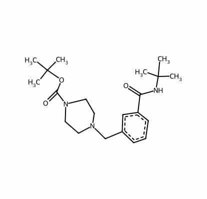 CC(C)(C)NC(=O)c1cccc(CN2CCN(C(=O)OC(C)(C)C)CC2)c1